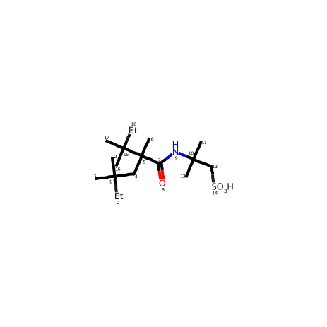 CCC(C)(C)CC(C)(C(=O)NC(C)(C)CS(=O)(=O)O)C(C)(C)CC